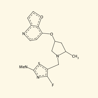 CNc1nc(F)c(CN2CC(Oc3ccnc4ccoc34)CC2C)s1